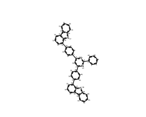 c1ccc(-c2nc(-c3ccc(-c4cccc5c4sc4ccccc45)cc3)cc(-c3ccc(-c4cccc5c4sc4ccccc45)cc3)n2)cc1